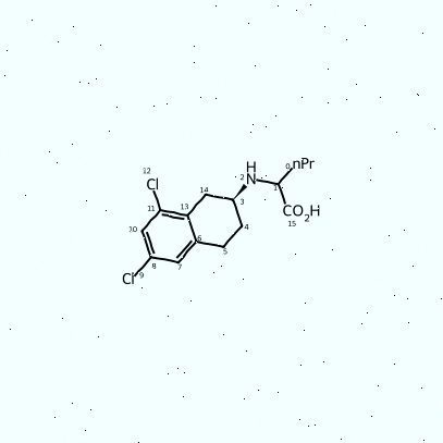 CCCC(N[C@H]1CCc2cc(Cl)cc(Cl)c2C1)C(=O)O